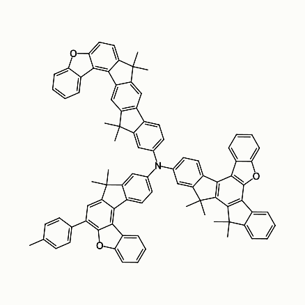 Cc1ccc(-c2cc3c(c4c2oc2ccccc24)-c2ccc(N(c4ccc5c(c4)C(C)(C)c4cc6c(cc4-5)C(C)(C)c4ccc5oc7ccccc7c5c4-6)c4ccc5c(c4)C(C)(C)c4c6c(c7oc8ccccc8c7c4-5)-c4ccccc4C6(C)C)cc2C3(C)C)cc1